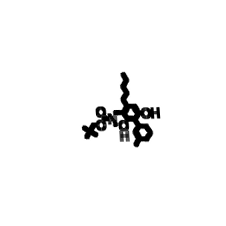 CCCCCc1cc(O)c(C2C=C(C)CCC2)c(O)c1CN(C)C(=O)OCC(C)(C)C